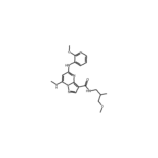 CNc1cc(Nc2cccnc2OC)nc2c(C(=O)NCC(C)COC)cnn12